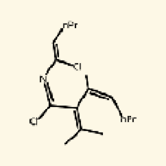 CCC/C=C(Cl)/N=C(/Cl)C(=C(C)C)/C(C)=C\CCC